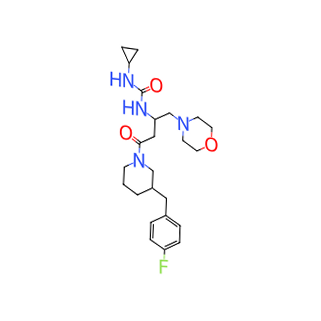 O=C(NC1CC1)NC(CC(=O)N1CCCC(Cc2ccc(F)cc2)C1)CN1CCOCC1